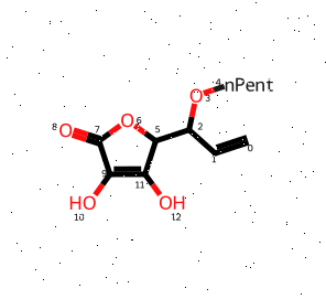 C=CC(OCCCCC)C1OC(=O)C(O)=C1O